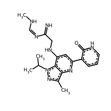 CN/C=N\C(=N)CNc1cc(-c2ccc[nH]c2=O)nc2c(C)nn(C(C)C)c12